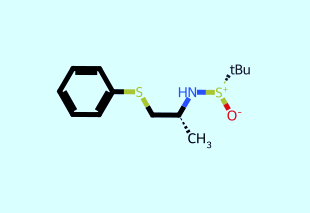 C[C@H](CSc1ccccc1)N[S@@+]([O-])C(C)(C)C